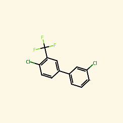 FC(F)(F)c1cc(-c2cc[c]c(Cl)c2)ccc1Cl